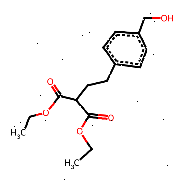 CCOC(=O)C(CCc1ccc(CO)cc1)C(=O)OCC